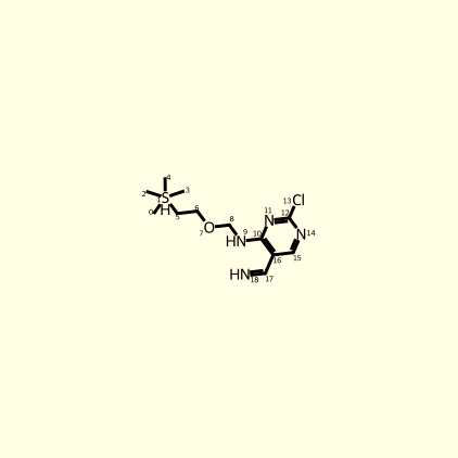 C[SH](C)(C)(C)CCOCNc1nc(Cl)ncc1C=N